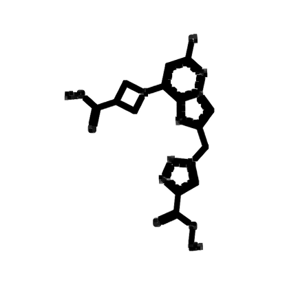 COC(=O)C1CN(c2cc(Cl)nn3cc(Cn4cc(C(=O)OC(C)(C)C)nn4)nc23)C1